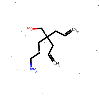 C=CCC(CO)(CC=C)CCCN